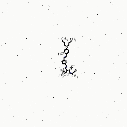 [C-]#[N+]C1=C(/C=C/c2ccc(/C=C/c3ccc(N(CCCC)CCCC)cc3O)s2)C(C)(C(F)(F)F)O/C1=C(\C)C#N